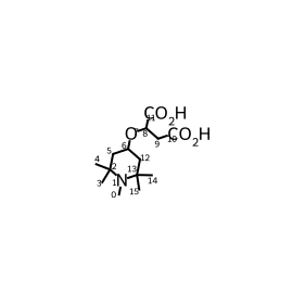 CN1C(C)(C)CC(OC(CC(=O)O)C(=O)O)CC1(C)C